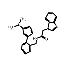 CN(C)c1cccc(-c2ccccc2CNC(=O)Cn2cnc3ccccc32)c1